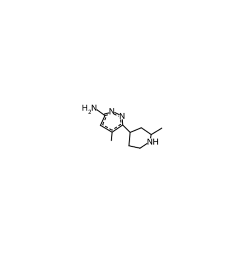 Cc1cc(N)nnc1C1CCNC(C)C1